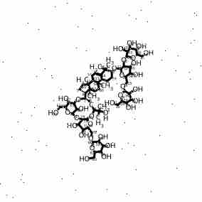 CC(C)(O)C1CC[C@H]([C@H]2CC[C@@]3(C)C4CC=C5C(CC[C@H](OC6OC(COC7OC(CO)C(O)C(O)C7O)C(O)C(O)C6OC6OC(CO)C(O)C(O)C6O)C5(C)C)[C@]4(C)CC[C@]23C)OC2C(O)C(CO)OC(OC3C(OC(COC4OC(CO)C(O)C(O)C4O)C(O)C3O)O1)C2O